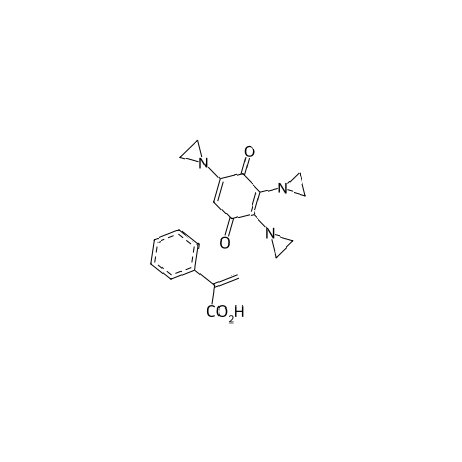 C=C(C(=O)O)c1ccccc1.O=C1C=C(N2CC2)C(=O)C(N2CC2)=C1N1CC1